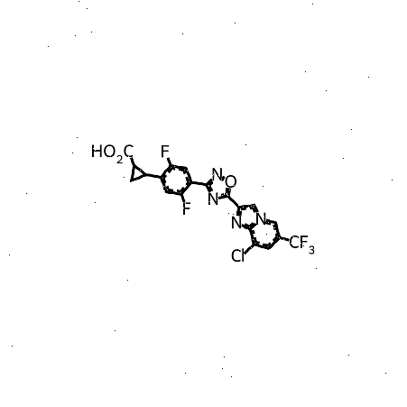 O=C(O)C1CC1c1cc(F)c(-c2noc(-c3cn4cc(C(F)(F)F)cc(Cl)c4n3)n2)cc1F